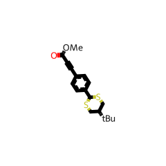 COC(=O)C#Cc1ccc(C2SCC(C(C)(C)C)CS2)cc1